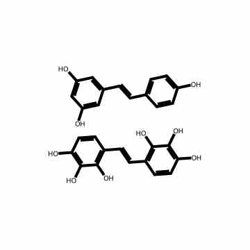 Oc1ccc(/C=C/c2cc(O)cc(O)c2)cc1.Oc1ccc(/C=C/c2ccc(O)c(O)c2O)c(O)c1O